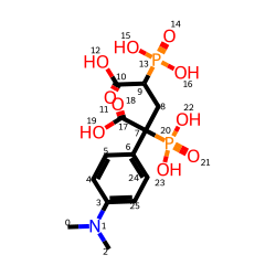 CN(C)c1ccc(C(CC(C(=O)O)P(=O)(O)O)(C(=O)O)P(=O)(O)O)cc1